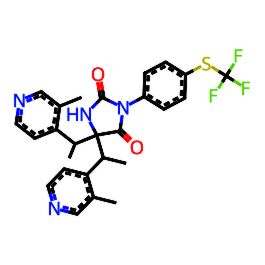 Cc1cnccc1C(C)C1(C(C)c2ccncc2C)NC(=O)N(c2ccc(SC(F)(F)F)cc2)C1=O